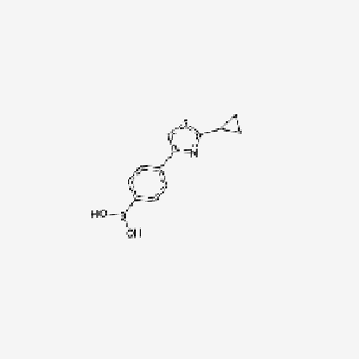 OB(O)c1ccc(-c2csc(C3CC3)n2)cc1